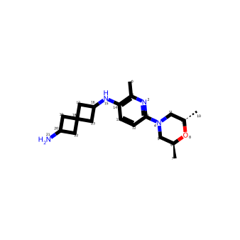 Cc1nc(N2C[C@H](C)O[C@@H](C)C2)ccc1NC1CC2(CC(N)C2)C1